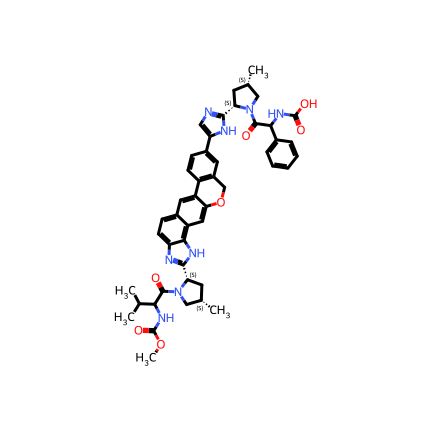 COC(=O)NC(C(=O)N1C[C@@H](C)C[C@H]1c1nc2ccc3cc4c(cc3c2[nH]1)OCc1cc(-c2cnc([C@@H]3C[C@H](C)CN3C(=O)C(NC(=O)O)c3ccccc3)[nH]2)ccc1-4)C(C)C